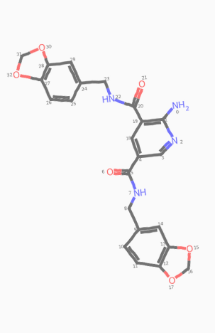 Nc1ncc(C(=O)NCc2ccc3c(c2)OCO3)cc1C(=O)NCc1ccc2c(c1)OCO2